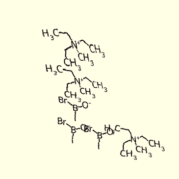 CC[N+](C)(CC)CC.CC[N+](C)(CC)CC.CC[N+](C)(CC)CC.[O-]B(Br)I.[O-]B(Br)I.[O-]B(Br)I